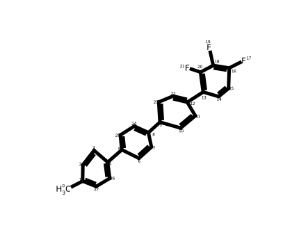 Cc1ccc(-c2ccc(-c3ccc(-c4ccc(F)c(F)c4F)cc3)cc2)cc1